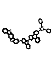 c1ccc(-c2nc(-c3ccccc3)nc(-c3ccc4c5ccc(-n6c7ccccc7c7cc(-c8ccc9sc%10cc%11c(cc%10c9c8)sc8ccccc8%11)ccc76)cc5c5ccccc5c4c3)n2)cc1